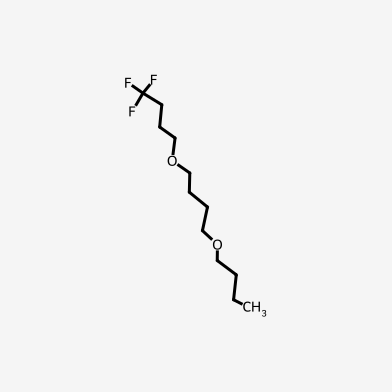 CCCCOCCCCOCCCC(F)(F)F